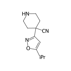 CC(C)c1cc(C2(C#N)CCNCC2)no1